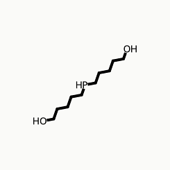 OCCCCCPCCCCCO